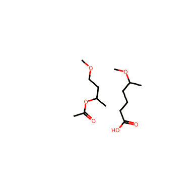 COC(C)CCCC(=O)O.COCCC(C)OC(C)=O